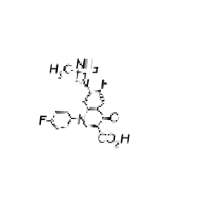 CC1(N)CN(c2cc3c(cc2F)c(=O)c(C(=O)O)cn3-c2ccc(F)cc2)C1